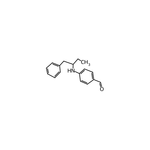 CCC(Cc1ccccc1)Nc1ccc(C=O)cc1